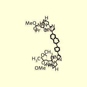 COC(=O)N[C@H](C(=O)N1[C@@H]2C[C@@H]2C[C@H]1c1ncc(-c2ccc3cc(-c4ccc(-c5cnc(C6C[C@H]7C[C@H]7N6C(=O)[C@@H](NC(=O)OC)[C@H]6C[C@@H](C)O[C@@H](C)C6)[nH]5)cc4)ccc3c2)[nH]1)C(C)C